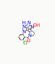 NC(=NO)c1ncn2c1[C@@H]1CCCN1C(=O)c1c(Cl)cccc1-2